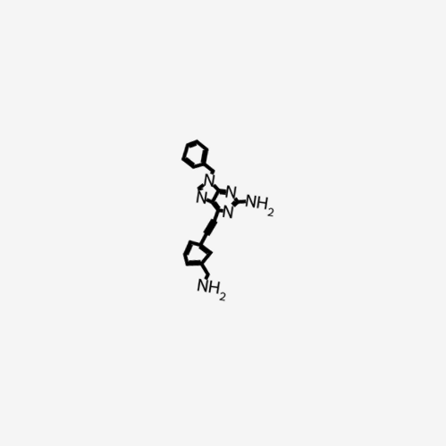 NCc1cccc(C#Cc2nc(N)nc3c2ncn3Cc2ccccc2)c1